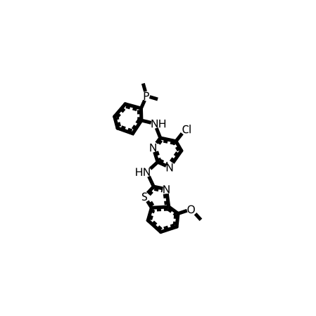 COc1cccc2sc(Nc3ncc(Cl)c(Nc4ccccc4P(C)C)n3)nc12